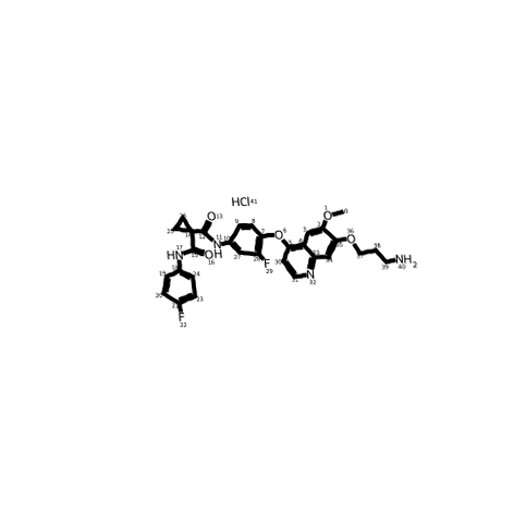 COc1cc2c(Oc3ccc(NC(=O)C4(C(=O)Nc5ccc(F)cc5)CC4)cc3F)ccnc2cc1OCCCN.Cl